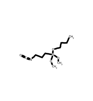 CCCCO[Si](CCCN=C=O)(OC)OC